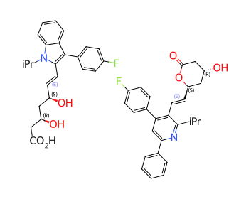 CC(C)c1nc(-c2ccccc2)cc(-c2ccc(F)cc2)c1/C=C/[C@@H]1C[C@@H](O)CC(=O)O1.CC(C)n1c(/C=C/[C@@H](O)C[C@@H](O)CC(=O)O)c(-c2ccc(F)cc2)c2ccccc21